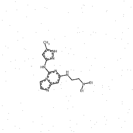 CCN(CC)CCNc1cc2nccn2c(Nc2cc(C)[nH]n2)n1